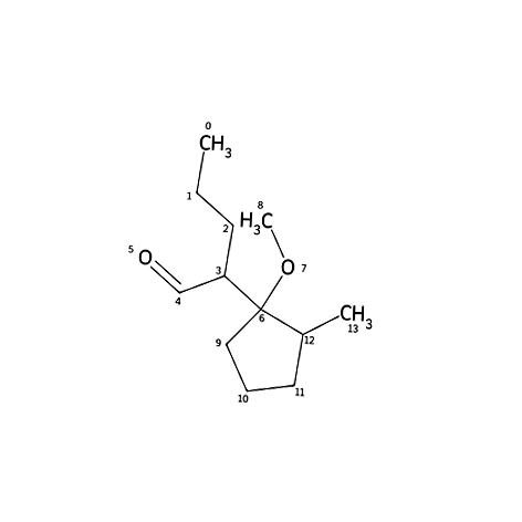 CCCC(C=O)C1(OC)CCCC1C